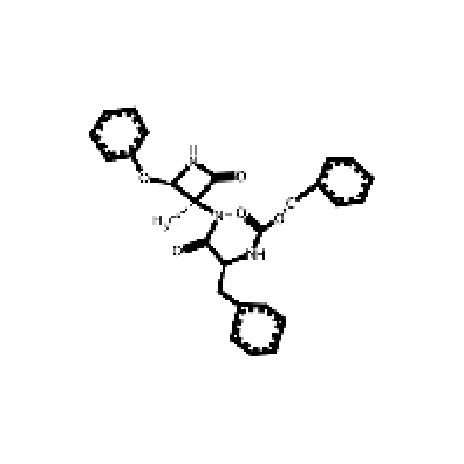 C[C@@]1(NC(=O)[C@H](Cc2ccccc2)NC(=O)OCc2ccccc2)C(=O)N[C@@H]1Oc1ccccc1